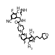 Cc1nn(CCC2CCOCC2)c(C)c1-c1nc(N2CCN(C(=O)N[C@@H](CC=N)c3cc(C#N)cc(F)c3C)CC2)ncc1F